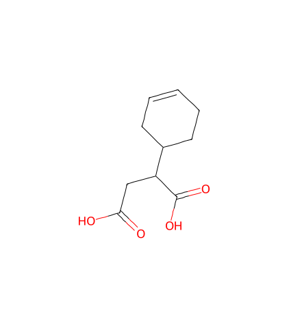 O=C(O)CC(C(=O)O)C1CC=CCC1